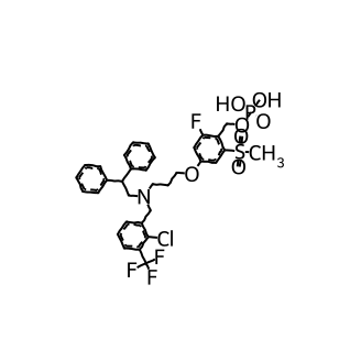 CS(=O)(=O)c1cc(OCCCN(Cc2cccc(C(F)(F)F)c2Cl)CC(c2ccccc2)c2ccccc2)cc(F)c1COP(=O)(O)O